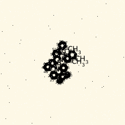 CC1(C)CCC(C)(C)c2cc(N3B4c5cccc6c5N(c5ccccc5C65c6ccccc6-c6ccccc65)c5c4c(cc4ccccc54)-c4ccc5c(sc6ccccc65)c43)ccc21